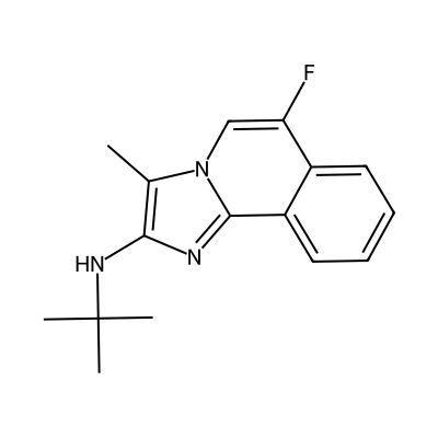 Cc1c(NC(C)(C)C)nc2c3ccccc3c(F)cn12